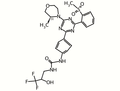 C[C@H]1COCCN1c1nc(-c2ccc(NC(=O)NCC(O)C(F)(F)F)cc2)nc(-c2ccccc2S(C)(=O)=O)n1